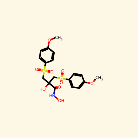 COc1ccc(S(=O)(=O)CC(O)(CS(=O)(=O)c2ccc(OC)cc2)C(=O)NO)cc1